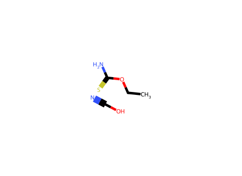 CCOC(N)=S.N#CO